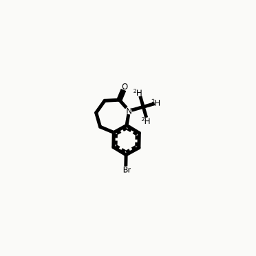 [2H]C([2H])([2H])N1C(=O)CCCc2cc(Br)ccc21